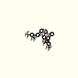 N#Cc1ccc(-n2c3ccccc3c3cc(-c4ccc(C(F)(F)F)cc4C(F)(F)F)ccc32)c(-c2cnccc2-n2c3ccccc3c3cc(-c4ccc(C(F)(F)F)cc4C(F)(F)F)ccc32)c1